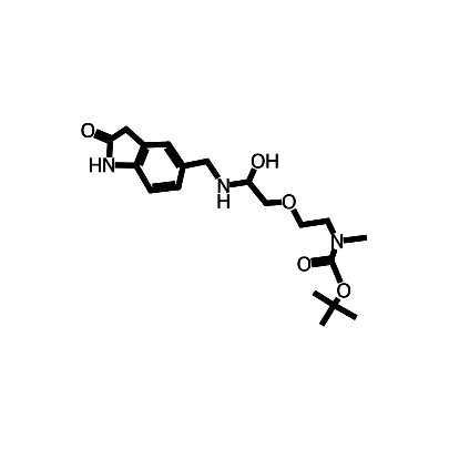 CN(CCOCC(O)NCc1ccc2c(c1)CC(=O)N2)C(=O)OC(C)(C)C